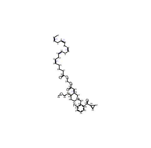 C/C=C\C/C=C\C/C=C\C/C=C\C/C=C\CCCC(=O)OCOC(=O)/C=C1/CN(Cc2c(F)cccc2C(=O)C2CC2)CCC1SCOC